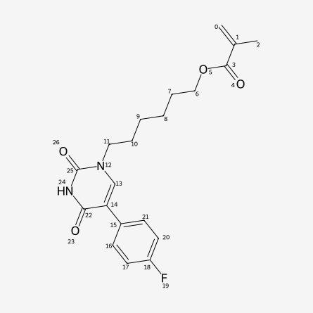 C=C(C)C(=O)OCCCCCCn1cc(-c2ccc(F)cc2)c(=O)[nH]c1=O